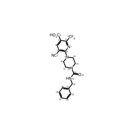 N#Cc1cc(C(=O)O)c(C(F)(F)F)nc1N1CCN(C(=O)NCc2ccccc2)CC1